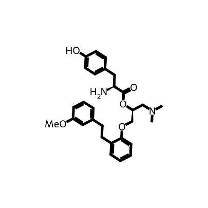 COc1cccc(CCc2ccccc2OC[C@H](CN(C)C)OC(=O)[C@@H](N)Cc2ccc(O)cc2)c1